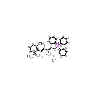 CC1=C(/C=C/C(C)=C/C[PH](c2ccccc2)(c2ccccc2)c2ccccc2)C(C)(C)CCC1.[H+]